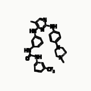 Cc1cnc(Nc2ccc(N3CCN(C)CC3)cc2)nc1Nc1cccc(NC(=O)Nc2cccc(C(F)(F)F)c2)c1